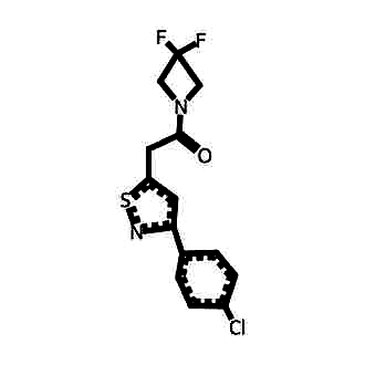 O=C(Cc1cc(-c2ccc(Cl)cc2)ns1)N1CC(F)(F)C1